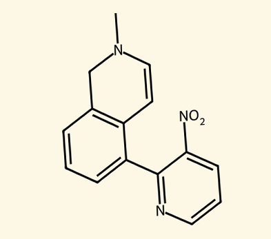 CN1C=Cc2c(cccc2-c2ncccc2[N+](=O)[O-])C1